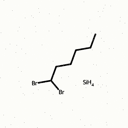 CCCCCC(Br)Br.[SiH4]